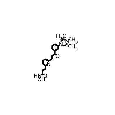 C[C@@H]1CN(c2cccc(C(=O)C=Cc3cccc(C=CC(=O)NO)n3)c2)C[C@H](C)N1C